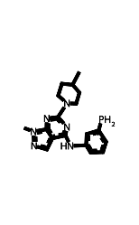 CC1CCN(c2nc(Nc3cccc(P)c3)c3cnn(C)c3n2)CC1